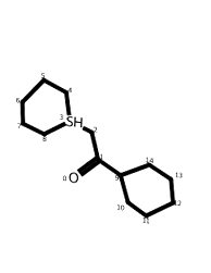 O=C(C[SH]1CCCCC1)C1CCCCC1